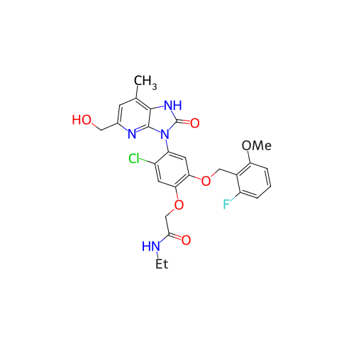 CCNC(=O)COc1cc(Cl)c(-n2c(=O)[nH]c3c(C)cc(CO)nc32)cc1OCc1c(F)cccc1OC